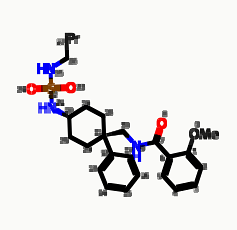 COc1ccccc1C(=O)NC[C@]1(c2ccccc2)CC[C@H](NS(=O)(=O)NCC(C)C)CC1